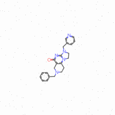 O=c1nc2n(c3c1CN(Cc1ccccc1)CC3)CCN2Cc1cccnc1